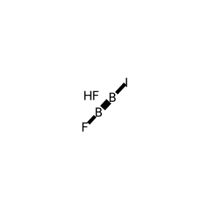 F.FB=BI